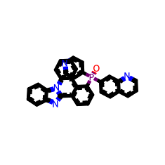 O=P(c1ccncc1)(c1ccc2cccnc2c1)c1cccc2c1c1ccccc1n1c3ccccc3nc21